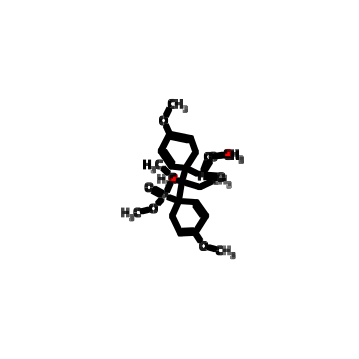 CCC(C)(C1(P(=O)(OC)OC)C=CC(OC)=CC1)C1(P(=O)(OC)OC)C=CC(OC)=CC1